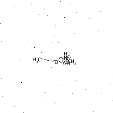 CCCCCCCCOc1ccc(NS(C)(=O)=O)c(O)c1